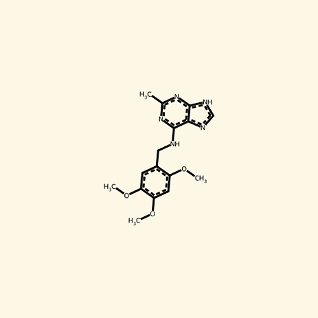 COc1cc(OC)c(OC)cc1CNc1nc(C)nc2[nH]cnc12